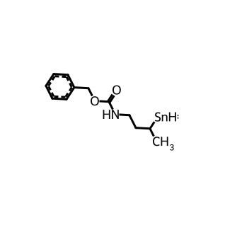 C[CH]([SnH])CCNC(=O)OCc1ccccc1